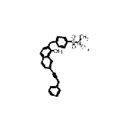 CN(C)S(=O)(=O)c1ccc(Cc2ccc3ccc(C#CCc4ccccc4)cc3c2O)cc1